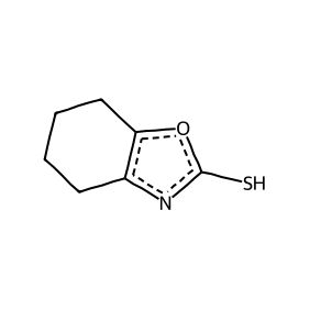 Sc1nc2c(o1)CCCC2